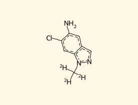 [2H]C([2H])([2H])n1ncc2cc(N)c(Cl)cc21